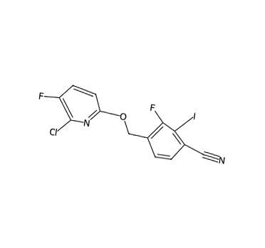 N#Cc1ccc(COc2ccc(F)c(Cl)n2)c(F)c1I